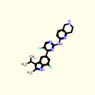 Cc1[nH]c2c(F)cc(-c3nc(Nc4ccc5c(n4)CCNC5)ncc3F)cc2c1C(C)C